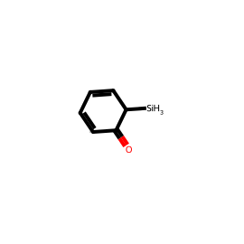 O=C1[C]=CC=CC1[SiH3]